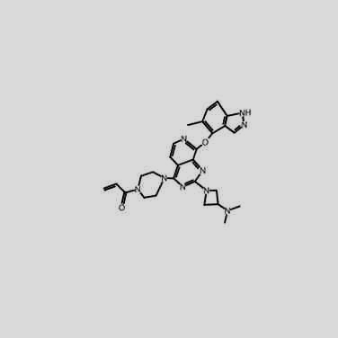 C=CC(=O)N1CCN(c2nc(N3CC(N(C)C)C3)nc3c(Oc4c(C)ccc5[nH]ncc45)nccc23)CC1